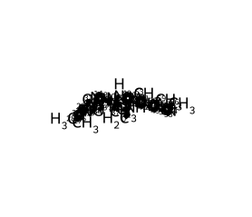 C=CC(=O)Nc1cc(Nc2nc(-c3ccnc(N4CCn5c(cc6c5CC(C)(C)C6)C4=O)c3CO)cn(C)c2=O)ccc1N1CCN(C2CCN(c3ccnc(C)c3)[C@H](C)C2)C[C@@H]1C